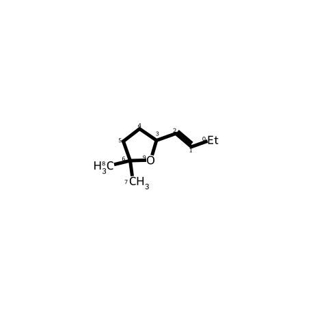 CCC=CC1CCC(C)(C)O1